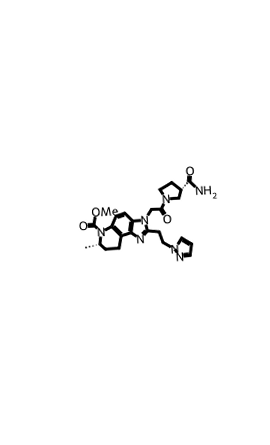 COC(=O)N1c2ccc3c(nc(CCn4cccn4)n3CC(=O)N3CC[C@H](C(N)=O)C3)c2CC[C@@H]1C